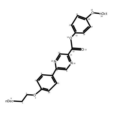 CCCCCCCCCCCCOc1ccc(-c2cnc(C(=O)Oc3ccc(OCCCCCCCC)cc3)cn2)cc1